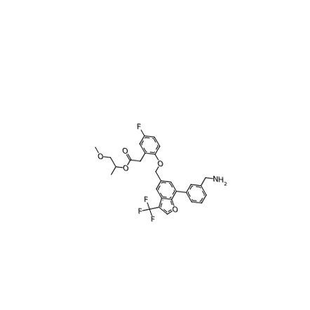 COCC(C)OC(=O)Cc1cc(F)ccc1OCc1cc(-c2cccc(CN)c2)c2occ(C(F)(F)F)c2c1